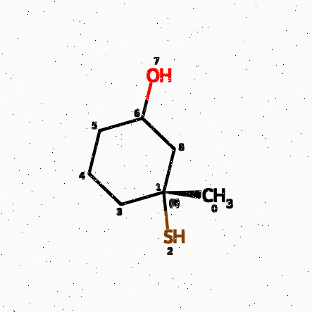 C[C@@]1(S)CCCC(O)C1